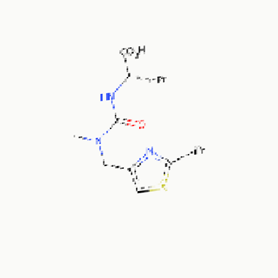 CCC[C@H](NC(=O)N(C)Cc1csc(C(C)C)n1)C(=O)O